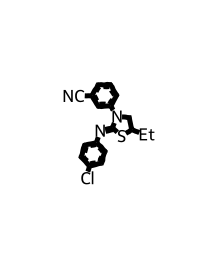 CCC1CN(c2cccc(C#N)c2)C(=Nc2ccc(Cl)cc2)S1